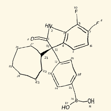 O=C1Nc2c(ccc(F)c2F)[C@@]1(c1ccc(B(O)O)cc1)C1CCCCCC1